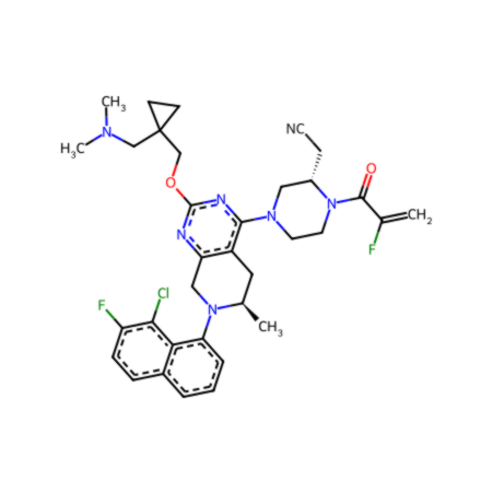 C=C(F)C(=O)N1CCN(c2nc(OCC3(CN(C)C)CC3)nc3c2C[C@@H](C)N(c2cccc4ccc(F)c(Cl)c24)C3)C[C@@H]1CC#N